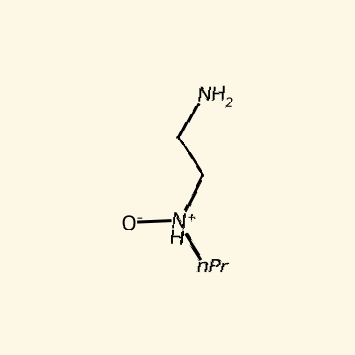 CCC[NH+]([O-])CCN